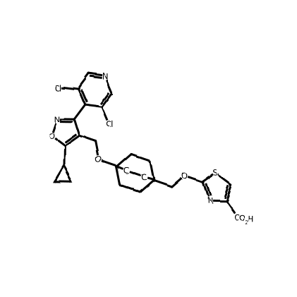 O=C(O)c1csc(OCC23CCC(OCc4c(-c5c(Cl)cncc5Cl)noc4C4CC4)(CC2)CC3)n1